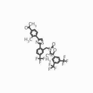 CC(=O)c1ccc(-c2csc(-c3ccc(C(F)(F)F)cc3CN3C(=O)O[C@H](c4cc(C(F)(F)F)cc(C(F)(F)F)c4)[C@@H]3C)n2)c(C)c1